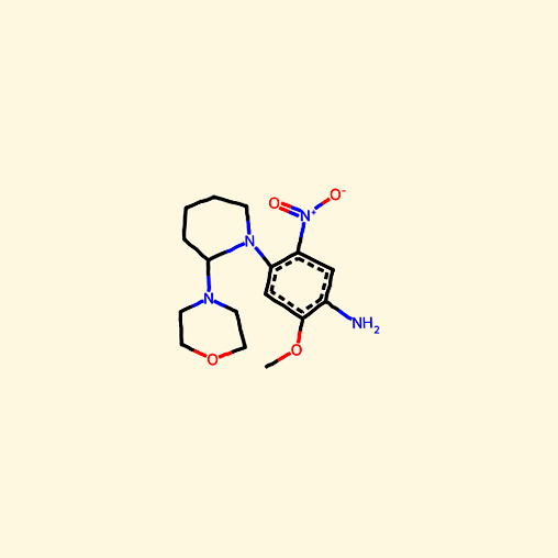 COc1cc(N2CCCCC2N2CCOCC2)c([N+](=O)[O-])cc1N